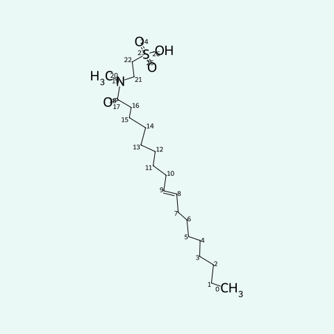 CCCCCCCCC=CCCCCCCCC(=O)N(C)CCS(=O)(=O)O